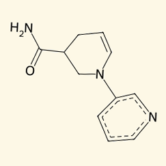 NC(=O)C1CC=CN(c2cccnc2)C1